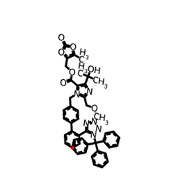 COCc1nc(C(C)(C)O)c(C(=O)OCc2oc(=O)oc2C)n1Cc1ccc(-c2ccccc2-c2nnnn2C(c2ccccc2)(c2ccccc2)c2ccccc2)cc1